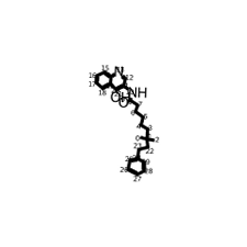 CC(C)(CCCCCC(=O)Nc1cnc2ccccc2c1O)CCc1ccccc1